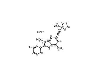 Cl.Cn1c(-c2[c]c(F)ccc2)nc2c(N)nc(C#CC3(O)CCCC3)nc21